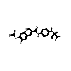 CC(CF)(NC1CCC(NC(=O)c2cnc3cc(OC(F)F)c(F)cc3c2)CC1)C(F)F